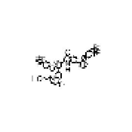 O=c1cc(-c2cnc(Oc3ccc(S(F)(F)(F)(F)F)cc3)c(-c3ccc4c(=O)ccn(CCCO)c4c3)c2)[nH]c2cc(-c3cccnc3Oc3ccc(S(F)(F)(F)(F)F)cc3)ccc12